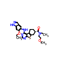 CCOc1cc2[nH]ncc2cc1Nc1ncnc2sc3c(c12)CC[C@H](C(=O)N(CC)CCOC)C3